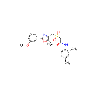 COc1cccc(-c2nc(CS(=O)(=O)CC(=O)Nc3ccc(C)cc3C)c(C)o2)c1